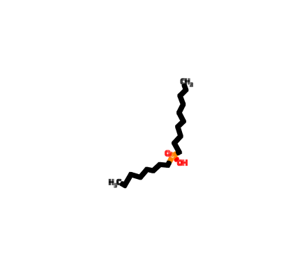 CCCCCCCCCCP(=O)(O)CCCCCCCC